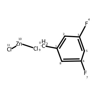 [CH2]c1cc(F)cc(F)c1.[Cl][Zn][Cl]